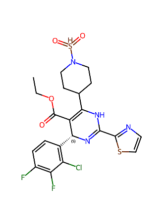 CCOC(=O)C1=C(C2CCN([SH](=O)=O)CC2)NC(c2nccs2)=N[C@@H]1c1ccc(F)c(F)c1Cl